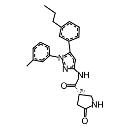 CCCc1cccc(-c2cc(NC(=O)[C@@H]3CNC(=O)C3)nn2-c2cccc(C)c2)c1